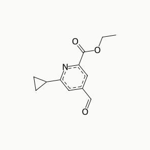 CCOC(=O)c1cc(C=O)cc(C2CC2)n1